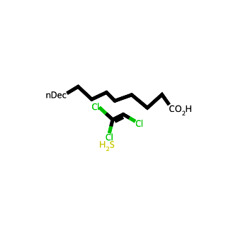 CCCCCCCCCCCCCCCCCC(=O)O.ClC=C(Cl)Cl.S